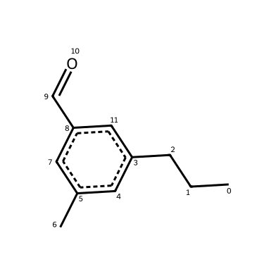 CCCc1cc(C)cc(C=O)c1